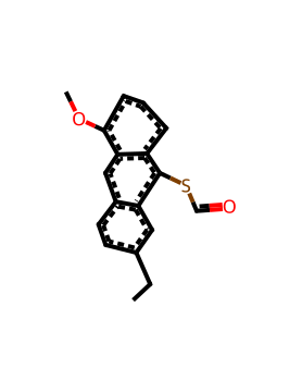 CCc1ccc2cc3c(OC)cccc3c(SC=O)c2c1